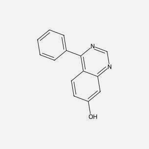 Oc1ccc2c(-c3ccccc3)ncnc2c1